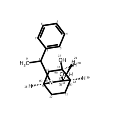 CC(c1ccccc1)N1[C@H]2CC[C@H]([C@H](O)C2)[C@H]1C(=O)O